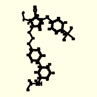 CCn1c(CCCc2ccc(-c3cc(NSC)ccn3)cc2)nn(Cc2ccc(C(C)(C)C)cc2)c1=O